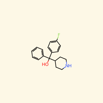 OC(c1ccccc1)(c1ccc(F)cc1)C1CCNCC1